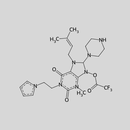 CC(C)=CCN1c2c(n(C)c(=O)n(CCn3cccc3)c2=O)N(OC(=O)C(F)(F)F)C1N1CCNCC1